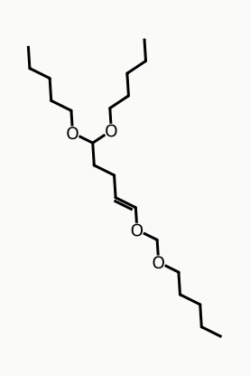 CCCCCOCOC=CCCC(OCCCCC)OCCCCC